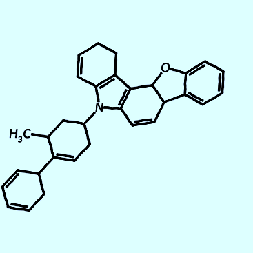 CC1CC(n2c3c(c4c2C=CC2c5ccccc5OC42)CCC=C3)CC=C1C1C=CC=CC1